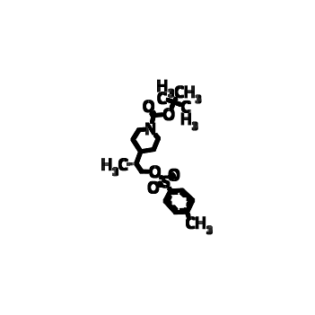 Cc1ccc(S(=O)(=O)OC[C@H](C)C2CCN(C(=O)OC(C)(C)C)CC2)cc1